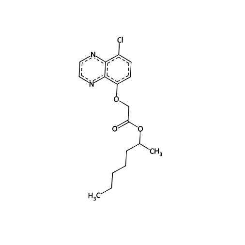 CCCCCC(C)OC(=O)COc1ccc(Cl)c2nccnc12